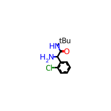 CC(C)(C)NC(=O)C(N)c1ccccc1Cl